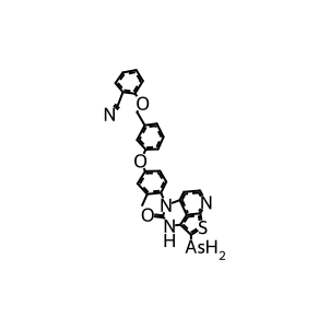 Cc1cc(Oc2cccc(COc3ccccc3C#N)c2)ccc1N1C(=O)Nc2c([AsH2])sc3nccc1c23